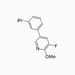 COc1ncc(-c2cccc(C(C)C)c2)cc1F